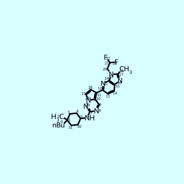 CCCCC1(C)CCC(Nc2ncc3c(-c4ccc5nc(C)n(CC(F)F)c5n4)ccn3n2)CC1